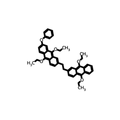 CCOc1c2ccccc2c(OCC)c2cc(CCc3ccc4c(OCC)c5ccc(Oc6ccccc6)cc5c(OCC)c4c3)ccc12